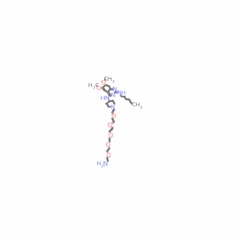 CCCCCCNc1nc(NC2CCN(CCOCCOCCOCCOCCOCCN)CC2)c2cc(OC)c(OC)cc2n1